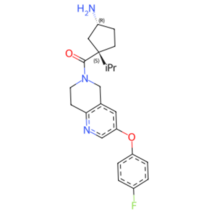 CC(C)[C@]1(C(=O)N2CCc3ncc(Oc4ccc(F)cc4)cc3C2)CC[C@@H](N)C1